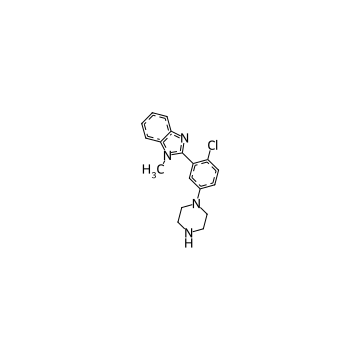 Cn1c(-c2cc(N3CCNCC3)ccc2Cl)nc2ccccc21